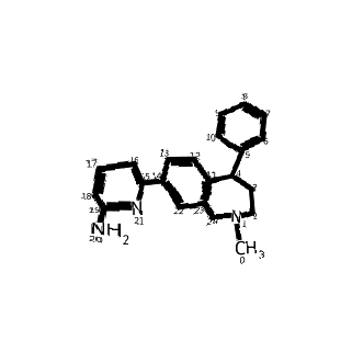 CN1CCC(c2ccccc2)c2ccc(-c3cccc(N)n3)cc2C1